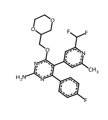 Cc1cc(-c2c(OCC3COCCO3)nc(N)nc2-c2ccc(F)cc2)cc(C(F)F)n1